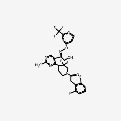 Cc1ncc(/C(CO)=N/Oc2ccnc(C(F)(F)F)n2)c(C2CCN(C(=O)Cc3c(F)cccc3F)CC2(F)F)n1